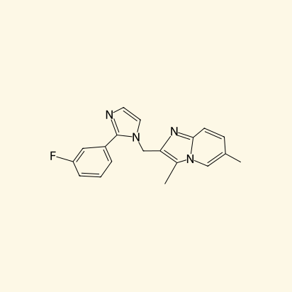 Cc1ccc2nc(Cn3ccnc3-c3cccc(F)c3)c(C)n2c1